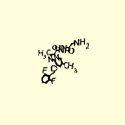 Cc1cc(OCc2c(F)cccc2F)c2nc(C)c(C(=O)NNC(=O)CN)n2c1